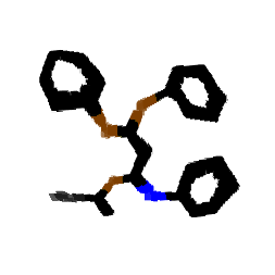 CCCCC(C)SC(CC(Sc1ccccc1)Sc1ccccc1)=Nc1ccccc1